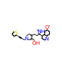 CN[C@H](CC[C@@H]1CCN(CC#Cc2cccs2)C[C@@H]1CO)c1ccnc2ccc(OC)cc12